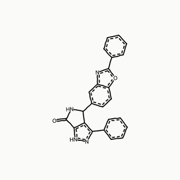 O=C1NC(c2ccc3oc(-c4ccccc4)nc3c2)c2c(-c3ccccc3)n[nH]c21